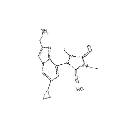 Cl.Cn1c(=O)n(C)n(-c2cc(C3CC3)cn3cc(CN)nc23)c1=O